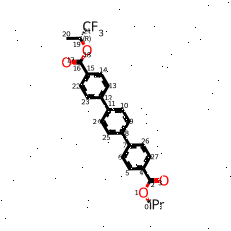 CC(C)OC(=O)c1ccc(-c2ccc(-c3ccc(C(=O)O[C@H](C)C(F)(F)F)cc3)cc2)cc1